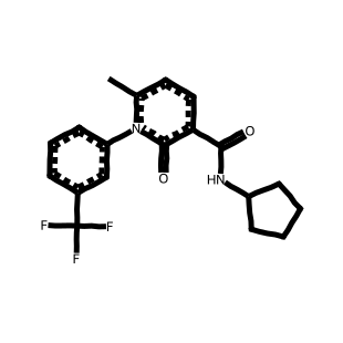 Cc1ccc(C(=O)NC2CCCC2)c(=O)n1-c1cccc(C(F)(F)F)c1